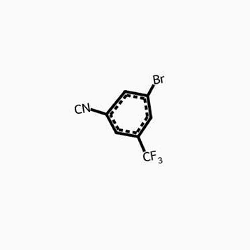 [C-]#[N+]c1cc(Br)cc(C(F)(F)F)c1